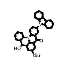 CC(C)(C)c1cc2c3c(c1)c(=O)c1cc(-n4c5ccccc5c5ccccc54)ccc1n3-c1ccccc1C2O